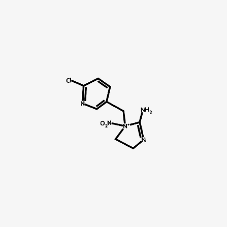 NC1=NCC[N+]1(Cc1ccc(Cl)nc1)[N+](=O)[O-]